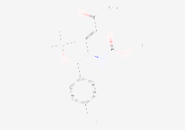 COC(=O)/C=C/[C@@H](NC(=O)OC(C)(C)C)[C@@H](O[Si](C)(C)C(C)(C)C)c1ccc(C(F)(F)F)cc1